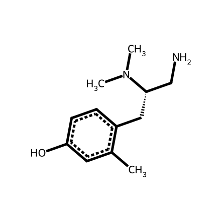 Cc1cc(O)ccc1C[C@@H](CN)N(C)C